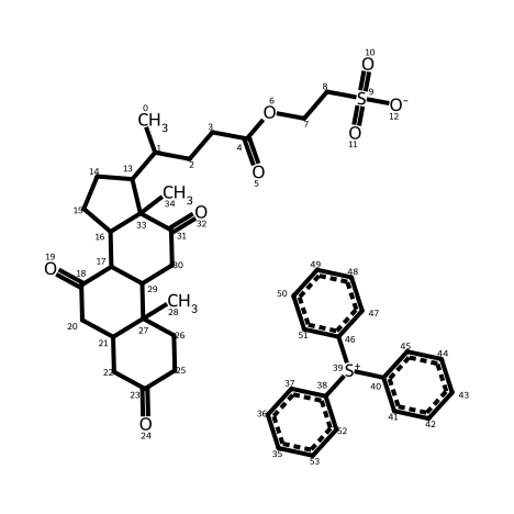 CC(CCC(=O)OCCS(=O)(=O)[O-])C1CCC2C3C(=O)CC4CC(=O)CCC4(C)C3CC(=O)C12C.c1ccc([S+](c2ccccc2)c2ccccc2)cc1